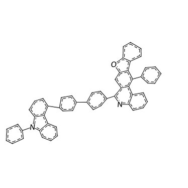 c1ccc(-c2c3c(cc4c(-c5ccc(-c6ccc(-c7cccc8c7c7ccccc7n8-c7ccccc7)cc6)cc5)nc5ccccc5c24)oc2ccccc23)cc1